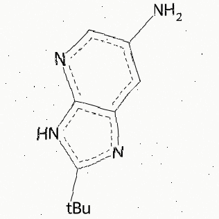 CC(C)(C)c1nc2cc(N)cnc2[nH]1